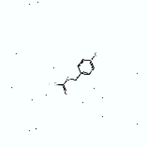 CC(=O)OCc1[c]cc(Cl)cc1